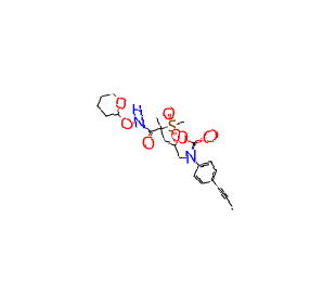 CC#Cc1ccc(N2CC(CC(C)(C(=O)NOC3CCCCO3)S(C)(=O)=O)OC2=O)cc1